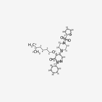 CC(C)CCCCOc1c(N2CCN(S(=O)(=O)c3cccs3)CC2)cnn(-c2ccccc2)c1=O